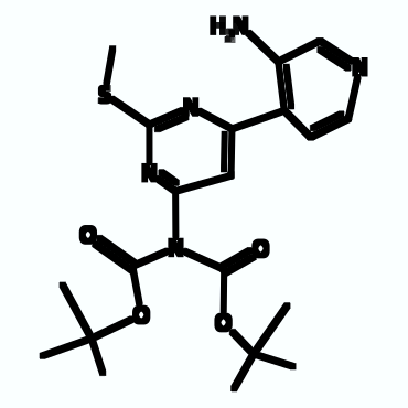 CSc1nc(-c2ccncc2N)cc(N(C(=O)OC(C)(C)C)C(=O)OC(C)(C)C)n1